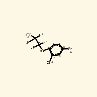 CC(F)(F)C(F)(F)Oc1ccc(Br)cc1Cl